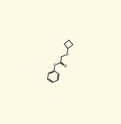 O=C(COC1CCC1)Oc1ccccc1